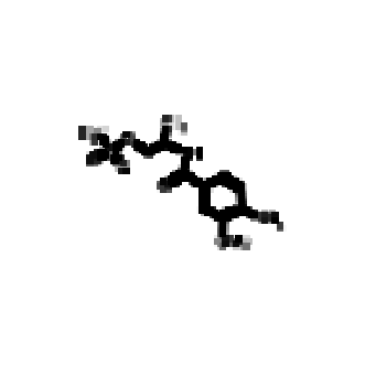 COc1cc(C(=O)NC(C)COS(C)(=O)=O)ccc1[N+](=O)[O-]